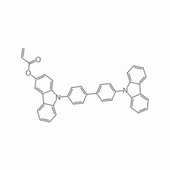 C=CC(=O)Oc1ccc2c(c1)c1ccccc1n2-c1ccc(-c2ccc(-n3c4ccccc4c4ccccc43)cc2)cc1